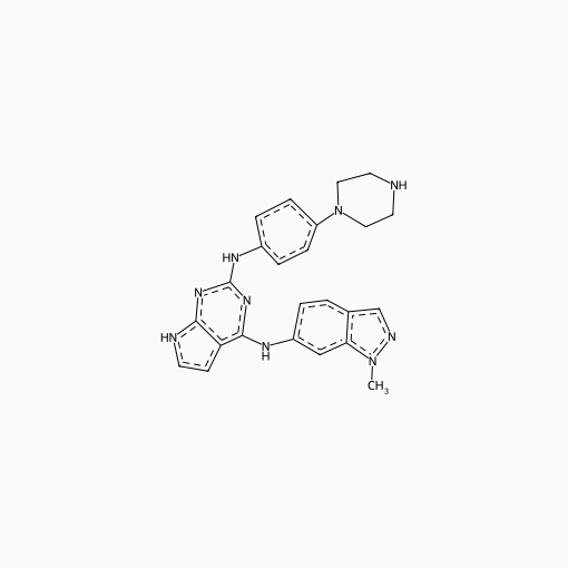 Cn1ncc2ccc(Nc3nc(Nc4ccc(N5CCNCC5)cc4)nc4[nH]ccc34)cc21